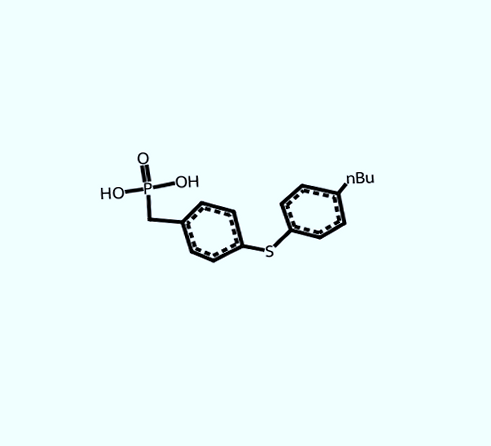 CCCCc1ccc(Sc2ccc(CP(=O)(O)O)cc2)cc1